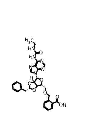 CCNC(=O)Nc1ncnc2c1ncn2[C@@H]1O[C@H](COCc2ccccc2C(=O)O)C2O[C@H](Cc3ccccc3)O[C@@H]21